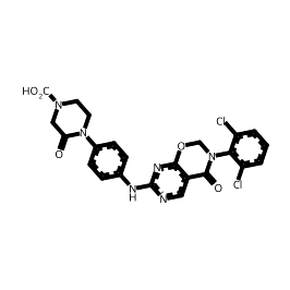 O=C(O)N1CCN(c2ccc(Nc3ncc4c(n3)OCN(c3c(Cl)cccc3Cl)C4=O)cc2)C(=O)C1